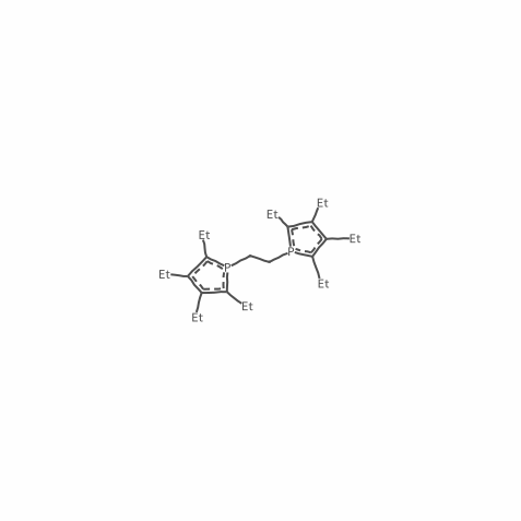 CCc1c(CC)c(CC)p(CCp2c(CC)c(CC)c(CC)c2CC)c1CC